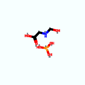 O=C(O)CNCO.OP(O)O